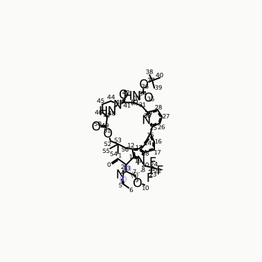 C=C/C(=C(\N=C/C)[C@H](C)OC)c1c2c3cc(ccc3n1CC(F)(F)F)-c1cccc(n1)C[C@H](NC(=O)OC(C)(C)C)C(=O)N1CCCC(N1)C(=O)OCC(C)(C)C2